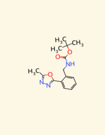 Cc1nnc(-c2ccccc2CNC(=O)OC(C)(C)C)o1